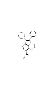 COC(=O)c1ccc2c(C3CCCCC3)c(-c3ccccc3)n3c2c1CCC3